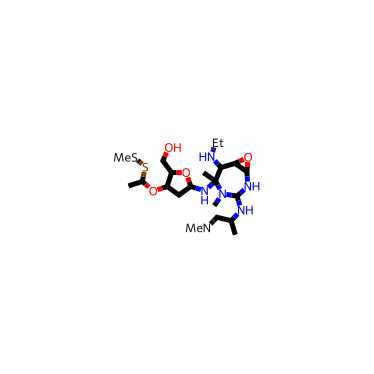 CCNC1C2OC2NC(NC(C)CNC)N(C)C1(C)NC1CC(OC(C)SSC)C(CO)O1